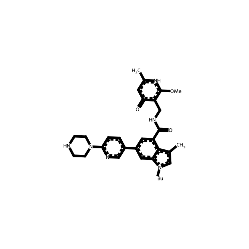 CCC(C)n1cc(C)c2c(C(=O)NCc3c(OC)[nH]c(C)cc3=O)cc(-c3ccc(N4CCNCC4)nc3)cc21